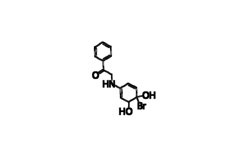 O=C(CNC1=CC(O)C(O)(Br)C=C1)c1ccccc1